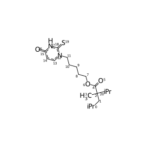 CC(C)CC(C)(C(=O)OCCCCCn1ccc(=O)[nH]c1=S)C(C)C